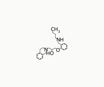 CCCCNCc1ccccc1OCC(O)CN1CCc2ccccc2C1